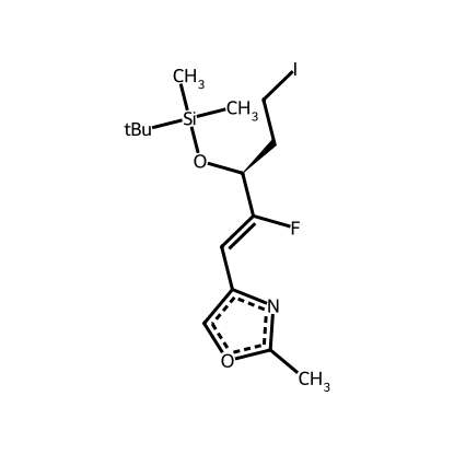 Cc1nc(C=C(F)[C@H](CCI)O[Si](C)(C)C(C)(C)C)co1